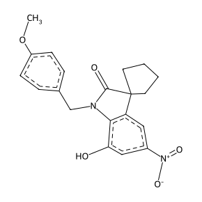 COc1ccc(CN2C(=O)C3(CCCC3)c3cc([N+](=O)[O-])cc(O)c32)cc1